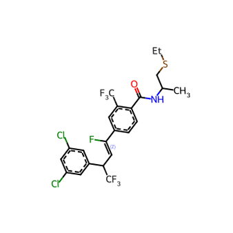 CCSCC(C)NC(=O)c1ccc(/C(F)=C/C(c2cc(Cl)cc(Cl)c2)C(F)(F)F)cc1C(F)(F)F